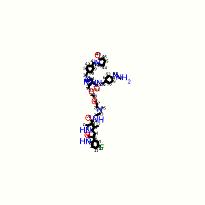 Cc1[nH]c(/C=C2\C(=O)Nc3ccc(F)cc32)c(C)c1C(=O)NCCN(C)CCOCCOCc1nn(Cc2ccc(Cn3ccccc3=O)cc2)cc1C(=O)NCC1=CCC(=NN)C=C1